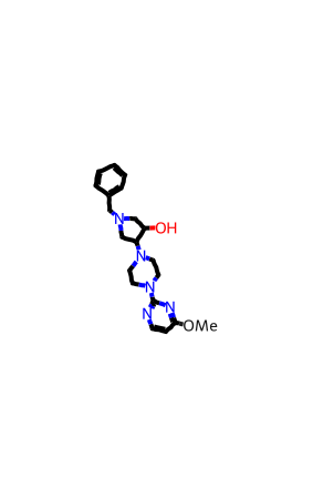 COc1ccnc(N2CCN(C3CN(Cc4ccccc4)CC3O)CC2)n1